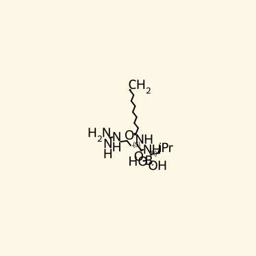 C=CCCCCCCCC(=O)N[C@@H](CCCNC(=N)N)C(=O)N[C@@H](CC(C)C)B(O)O